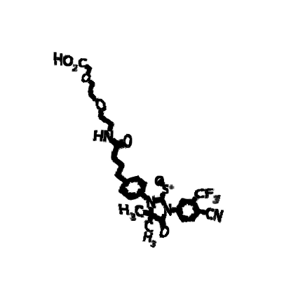 CC1(C)C(=O)N(c2ccc(C#N)c(C(F)(F)F)c2)C([S+]=O)N1c1ccc(CCCC(=O)NCCOCCOCC(=O)O)cc1